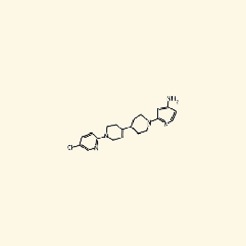 Nc1ccnc(N2CCC(C3CCN(c4ccc(Cl)cn4)CC3)CC2)c1